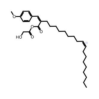 CCCCCCCC/C=C\CCCCCCCCC(=Cc1ccc(OC)cc1)C(=O)OC(=O)CO